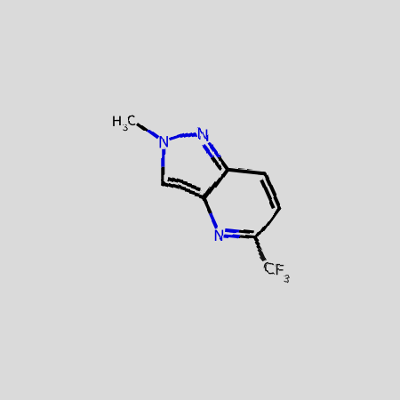 Cn1cc2nc(C(F)(F)F)ccc2n1